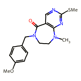 COc1ccc(CN2CCN(C)c3nc(SC)ncc3C2=O)cc1